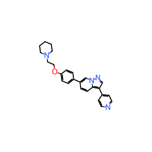 c1cc(-c2cnn3cc(-c4ccc(OCCN5CCCCC5)cc4)ccc23)ccn1